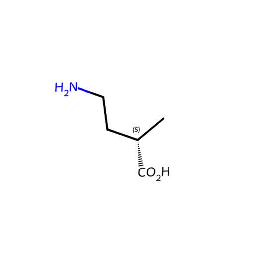 C[C@@H](CCN)C(=O)O